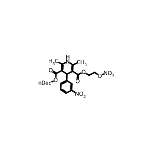 CCCCCCCCCCOC(=O)C1=C(C)NC(C)=C(C(=O)OCCO[N+](=O)[O-])C1c1cccc([N+](=O)[O-])c1